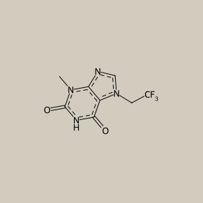 Cn1c(=O)[nH]c(=O)c2c1ncn2CC(F)(F)F